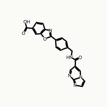 O=C(O)c1ccc2nc(-c3ccc(CNC(=O)c4cnc5nccn5c4)cc3)oc2c1